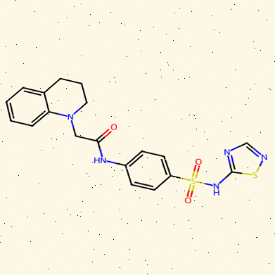 O=C(CN1CCCc2ccccc21)Nc1ccc(S(=O)(=O)Nc2ncns2)cc1